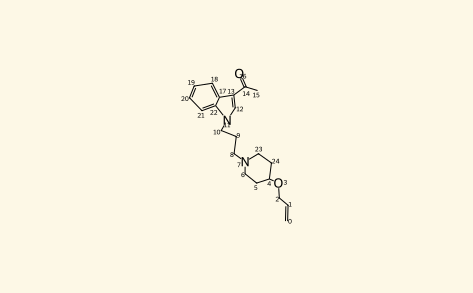 C=CCOC1CCN(CCCn2cc(C(C)=O)c3ccccc32)CC1